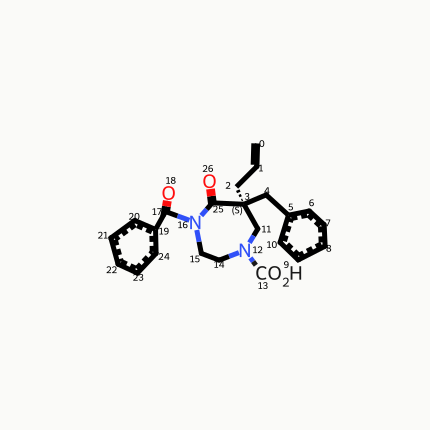 C=CC[C@]1(Cc2ccccc2)CN(C(=O)O)CCN(C(=O)c2ccccc2)C1=O